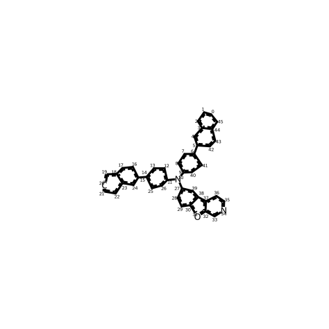 c1ccc2cc(-c3ccc(N(c4ccc(-c5ccc6ccccc6c5)cc4)c4ccc5oc6cnccc6c5c4)cc3)ccc2c1